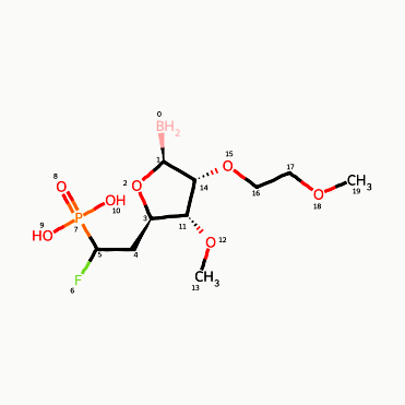 B[C@@H]1O[C@H](CC(F)P(=O)(O)O)[C@@H](OC)[C@H]1OCCOC